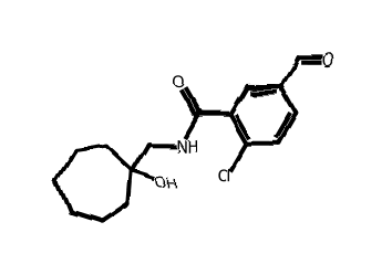 O=Cc1ccc(Cl)c(C(=O)NCC2(O)CCCCCC2)c1